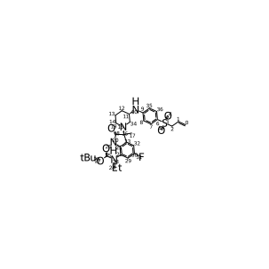 C=CCS(=O)(=O)c1ccc(N[C@@H]2CCCN(C3(C)C(=O)Nc4c(N(CC)C(=O)OC(C)(C)C)cc(F)cc43)C2)cc1